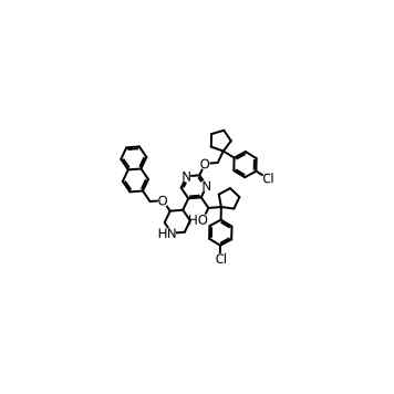 OC(c1nc(OCC2(c3ccc(Cl)cc3)CCCC2)ncc1C1CCNCC1OCc1ccc2ccccc2c1)C1(c2ccc(Cl)cc2)CCCC1